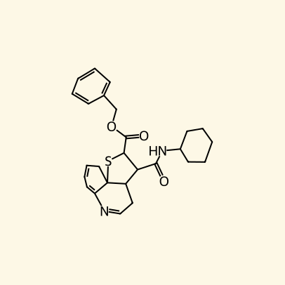 O=C(OCc1ccccc1)C1SC23CC=CC=C2N=CCC3C1C(=O)NC1CCCCC1